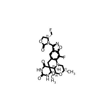 C[C@H]1CN2c3c(cc4c(N5C(=O)OC[C@@H]5CF)noc4c3F)CC3(C(=O)NC(=O)NC3=O)[C@@H]2[C@@H](C)O1